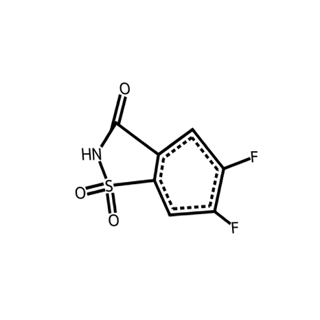 O=C1NS(=O)(=O)c2cc(F)c(F)cc21